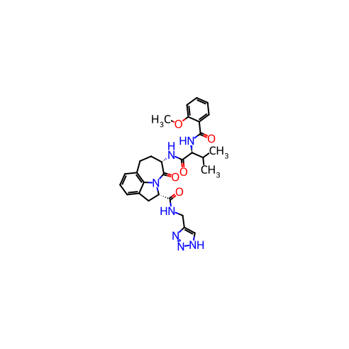 COc1ccccc1C(=O)N[C@H](C(=O)N[C@H]1CCc2cccc3c2N(C1=O)[C@H](C(=O)NCc1c[nH]nn1)C3)C(C)C